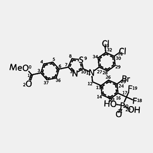 COC(=O)c1ccc(-c2csc(N(Cc3ccc(C(F)(F)P(=O)(O)O)c(Br)c3)c3ccc(Cl)c(Cl)c3)n2)cc1